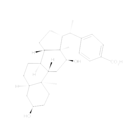 C[C@H](c1ccc(C(=O)O)cc1)[C@H]1CC[C@H]2[C@@H]3CC[C@@H]4C[C@H](O)CC[C@]4(C)[C@H]3C[C@H](O)[C@]12C